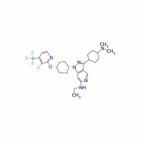 CCNc1cc2c(cn1)c(C1CCC(N(C)C)CC1)nn2[C@H]1CC[C@@H](Oc2nccc(C(F)(F)F)c2F)CC1